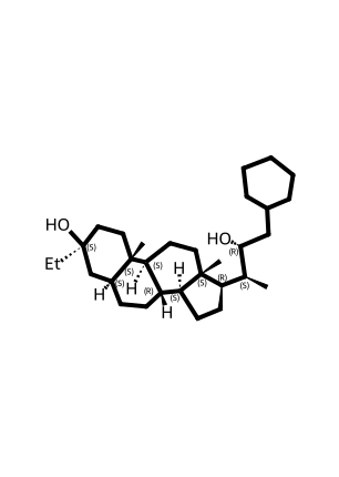 CC[C@]1(O)CC[C@@]2(C)[C@@H](CC[C@@H]3[C@@H]2CC[C@]2(C)[C@@H]([C@H](C)[C@H](O)CC4CCCCC4)CC[C@@H]32)C1